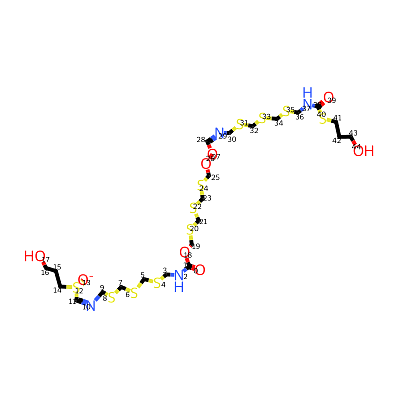 O=C(NCSCSCSC/N=C\[S+]([O-])CCCO)OCSCSCSCOO/C=N\CSCSCSCNC(=O)SCCCO